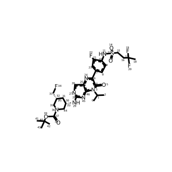 CC(C)n1c(=O)c(-c2ccc(NS(=O)(=O)CCC(C)(F)F)c(F)c2)nc2cnc(N[C@H]3C[C@@H](CF)CN(C(=O)OC(C)(C)C)C3)nc21